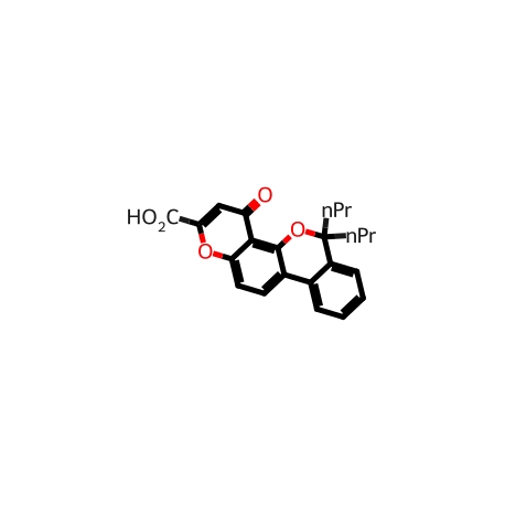 CCCC1(CCC)Oc2c(ccc3oc(C(=O)O)cc(=O)c23)-c2ccccc21